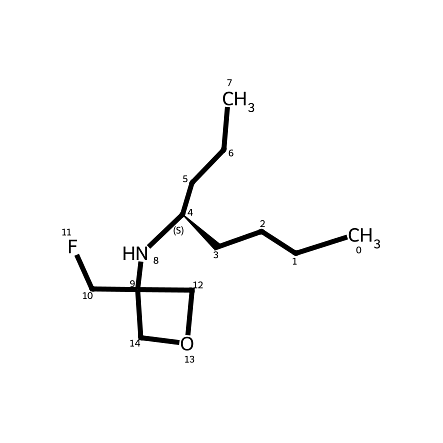 CCCC[C@H](CCC)NC1(CF)COC1